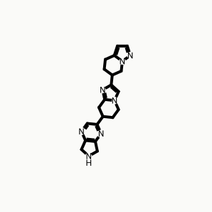 c1cc2n(n1)CC(c1cn3c(n1)CC(c1cnc4c(n1)CNC4)CC3)CC2